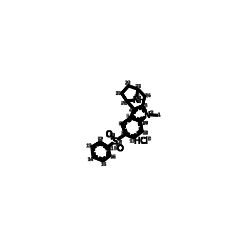 Cl.Cn1c2c(c3cc(S(=O)(=O)c4ccccc4)ccc31)C1CCC(C2)N1